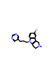 CN1CCc2c(c3cc(Cl)ccc3n2CCCc2cncnc2)C1